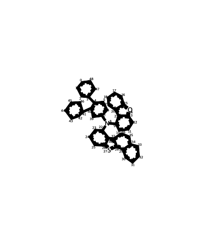 c1ccc(-c2ccc(N(c3cccc4oc5ccccc5c34)c3cccc4sc5c6ccccc6ccc5c34)cc2-c2ccccc2)cc1